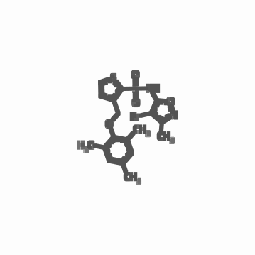 Cc1cc(C)c(OCc2ccsc2S(=O)(=O)Nc2onc(C)c2Br)c(C)c1